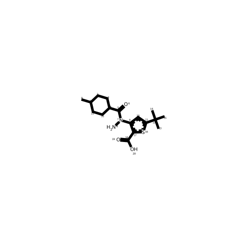 CC1CCC(C(=O)N(N)c2cc(C(C)(C)C)sc2C(=O)O)CC1